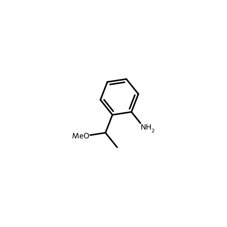 COC(C)c1ccccc1N